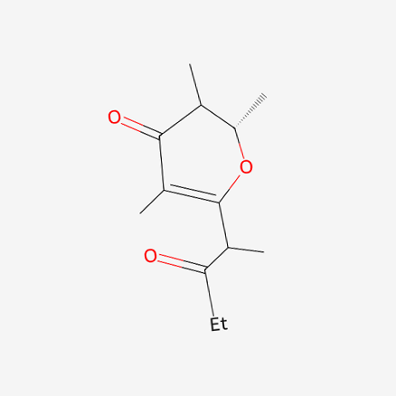 CCC(=O)C(C)C1=C(C)C(=O)C(C)[C@H](C)O1